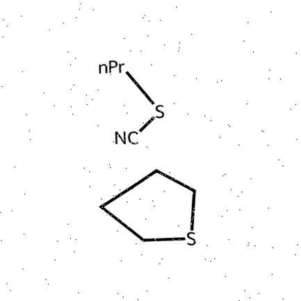 C1CCSC1.CCCSC#N